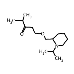 CC(C)C(=O)CCOCC1CCCCN1C(C)C